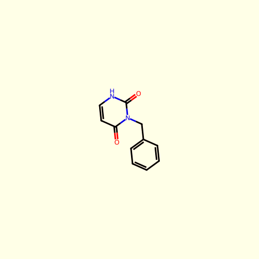 O=c1cc[nH]c(=O)n1Cc1ccccc1